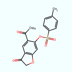 COC(=O)c1cc2c(cc1OS(=O)(=O)c1ccc(C)cc1)OCC2=O